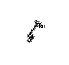 OC[C@H]1CC(O)[C@@H](O)CN1CCCCCOCC1CCC(C2CCCCC2)C(C(F)(F)F)C1